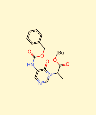 CC(C(=O)OC(C)(C)C)n1cncc(NC(=O)OCc2ccccc2)c1=O